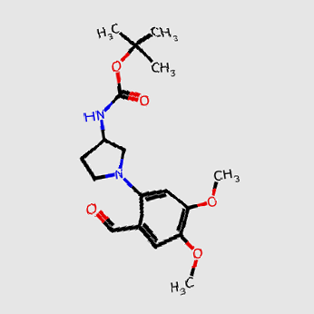 COc1cc(C=O)c(N2CCC(NC(=O)OC(C)(C)C)C2)cc1OC